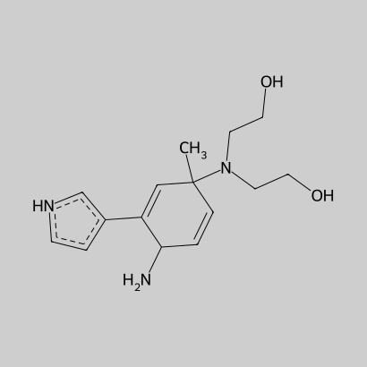 CC1(N(CCO)CCO)C=CC(N)C(c2cc[nH]c2)=C1